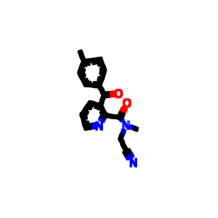 Cc1ccc(C(=O)c2cccnc2C(=O)N(C)CC#N)cc1